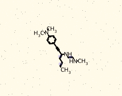 C/C=C/C=C(/C#Cc1ccc(N(C)C)cc1)N/C=C/NC